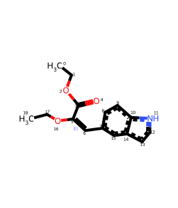 CCOC(=O)/C(=C\c1ccc2[nH]ccc2c1)OCC